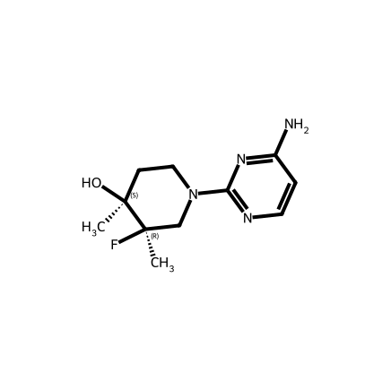 C[C@]1(O)CCN(c2nccc(N)n2)C[C@@]1(C)F